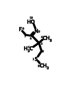 CSCC(C)(C)C(CF)=NO